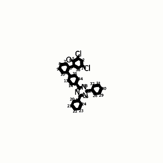 Clc1cc(Cl)c2oc3cccc(-c4ccc(-c5nc(-c6ccccc6)nc(-c6ccccc6)n5)cc4)c3c2c1